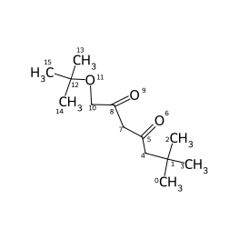 CC(C)(C)CC(=O)CC(=O)COC(C)(C)C